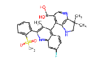 Cc1c(-c2ccccc2S(C)(=O)=O)nc2cc(F)ccc2c1-c1c(B(O)O)cnc2c1NCC2(C)C